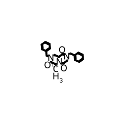 C[C@H]1C(=O)N(Cc2ccccc2)CC2C(=O)N(Cc3ccccc3)CC(=O)N21